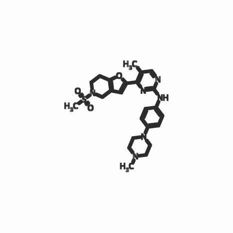 Cc1cnc(Nc2ccc(N3CCN(C)CC3)cc2)nc1-c1cc2c(o1)CCN(S(C)(=O)=O)C2